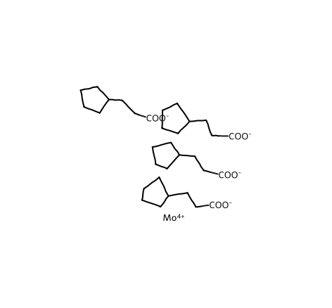 O=C([O-])CCC1CCCC1.O=C([O-])CCC1CCCC1.O=C([O-])CCC1CCCC1.O=C([O-])CCC1CCCC1.[Mo+4]